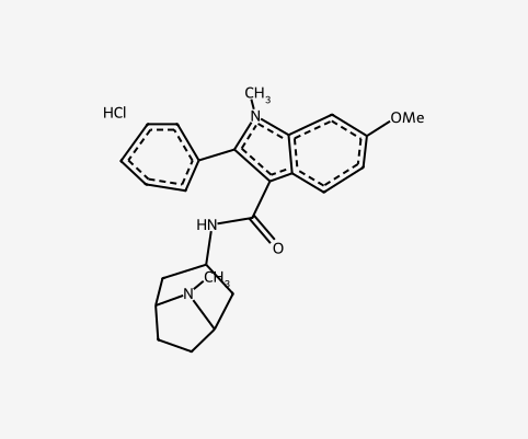 COc1ccc2c(C(=O)NC3CC4CCC(C3)N4C)c(-c3ccccc3)n(C)c2c1.Cl